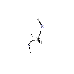 CCCCCCCC/C=C\CCCCCCCCOP(=O)(O)CCCCCCCC/C=C\CCCCCCCC.[Cr]